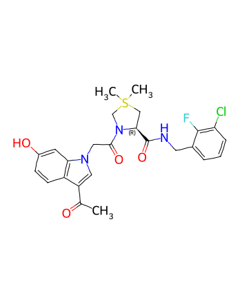 CC(=O)c1cn(CC(=O)N2CS(C)(C)C[C@H]2C(=O)NCc2cccc(Cl)c2F)c2cc(O)ccc12